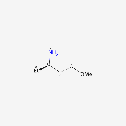 CC[C@@H](N)CCOC